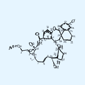 COCCCN1[C@@H](C)C/C=C/[C@H](O)[C@@H]2CC[C@H]2CN2C[C@@]3(CCCc4cc(Cl)ccc43)COc3ccc(cc32)C(=O)NS1(=O)=O